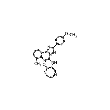 COc1ccc(-c2nc3c4cccc(C)c4nc(Nc4cnccnc4=O)n3n2)cc1